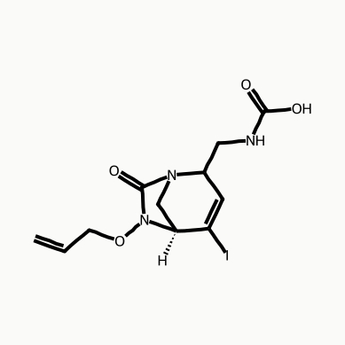 C=CCON1C(=O)N2C[C@H]1C(I)=CC2CNC(=O)O